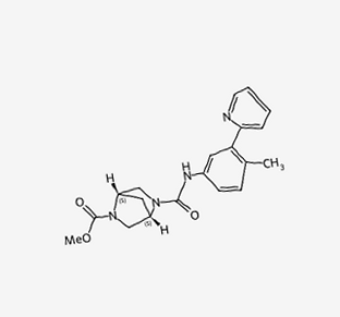 COC(=O)N1C[C@@H]2C[C@H]1CN2C(=O)Nc1ccc(C)c(-c2ccccn2)c1